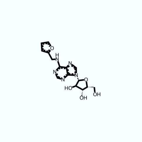 OC[C@H]1O[C@@H](n2cnc3c(NCc4ccco4)ncnc32)C(O)[C@H]1O